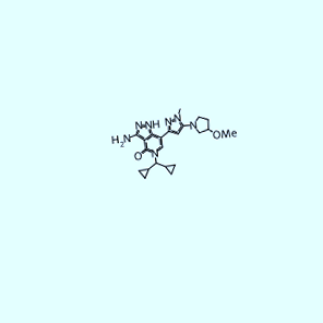 CO[C@@H]1CCN(c2cc(-c3cn(C(C4CC4)C4CC4)c(=O)c4c(N)n[nH]c34)nn2C)C1